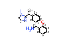 CC(C1=NCCN1)c1ccc2c(c1)C(N)c1ccccc1O2